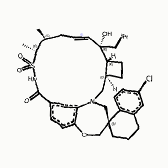 CC(C)C[C@]1(O)/C=C/C[C@H](C)[C@@H](C)S(=O)(=O)NC(=O)c2ccc3c(c2)N(C[C@@H]2CC[C@H]21)C[C@@]1(CCCc2cc(Cl)ccc21)CO3